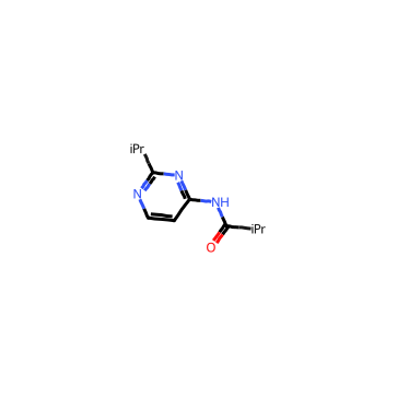 CC(C)C(=O)Nc1ccnc(C(C)C)n1